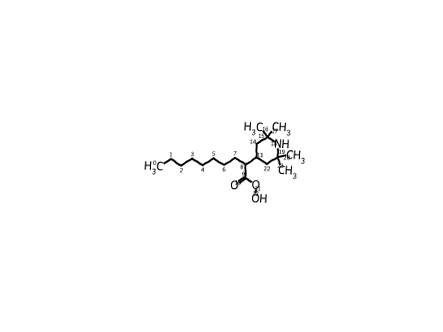 CCCCCCCCC(C(=O)OO)C1CC(C)(C)NC(C)(C)C1